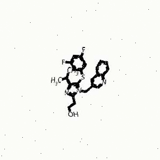 CC(C)c1nc(CCO)n(Cc2cnc3ccccc3c2)c1Sc1cc(F)cc(F)c1